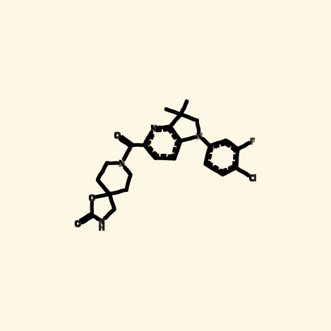 CC1(C)CN(c2ccc(Cl)c(F)c2)c2ccc(C(=O)N3CCC4(CC3)CNC(=O)O4)nc21